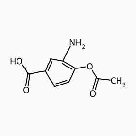 CC(=O)Oc1ccc(C(=O)O)cc1N